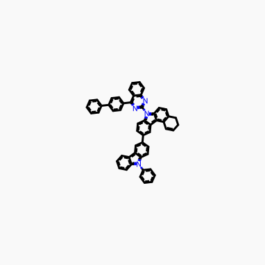 C1=Cc2c(ccc3c2c2cc(-c4ccc5c(c4)c4ccccc4n5-c4ccccc4)ccc2n3-c2nc(-c3ccc(-c4ccccc4)cc3)c3ccccc3n2)CC1